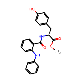 COC(=O)[C@H](Cc1ccc(O)cc1)NC(=O)c1ccccc1Nc1ccccc1